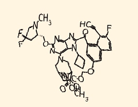 C#Cc1c(F)ccc2cc(OCOC)cc(C(=O)c3nc4nc(OC[C@@H]5CC(F)(F)CN5C)nc(N5CC6CC(OC)C(C5)N6C(=O)O)c4n3C3CCC3)c12